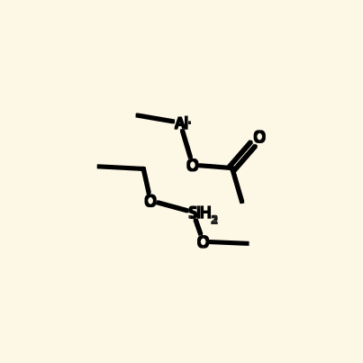 CCO[SiH2]OC.[CH3][Al][O]C(C)=O